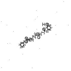 O=C(CCCNC(=O)CCCCCNC(=O)OCc1ccccc1)Cc1cccc(O)c1